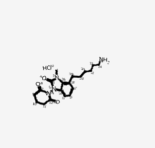 Cl.Cn1c(=O)n(N2C(=O)CCCC2=O)c2cccc(CCCCCCN)c21